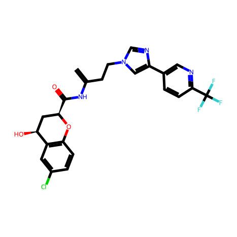 C=C(CCn1cnc(-c2ccc(C(F)(F)F)nc2)c1)NC(=O)[C@@H]1C[C@H](O)c2cc(Cl)ccc2O1